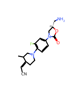 CC1CN(c2ccc(N3C[C@H](CN)OC3=O)cc2F)CCC1=CC#N